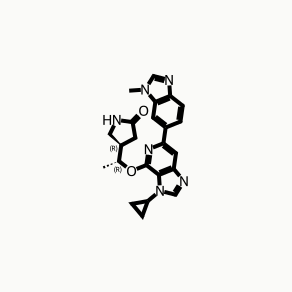 C[C@@H](Oc1nc(-c2ccc3ncn(C)c3c2)cc2ncn(C3CC3)c12)[C@H]1CNC(=O)C1